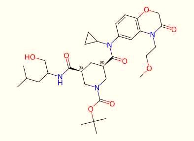 COCCN1C(=O)COc2ccc(N(C(=O)[C@@H]3C[C@H](C(=O)NC(CO)CC(C)C)CN(C(=O)OC(C)(C)C)C3)C3CC3)cc21